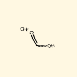 O=CO.[CH]